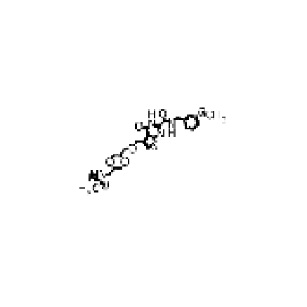 COc1cccc(CNC(=O)c2nc3scc(COCC4COC(CNS(C)(=O)=O)CO4)c3c(=O)[nH]2)c1